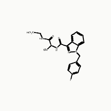 CC(C)(C)C(NC(=O)c1nn(Cc2ccc(F)cc2)c2ccccc12)C(=O)NCC(=O)O